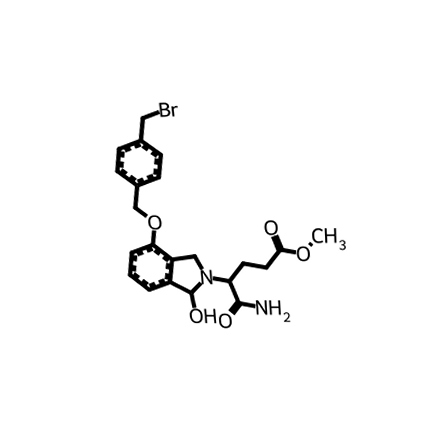 COC(=O)CCC(C(N)=O)N1Cc2c(OCc3ccc(CBr)cc3)cccc2C1O